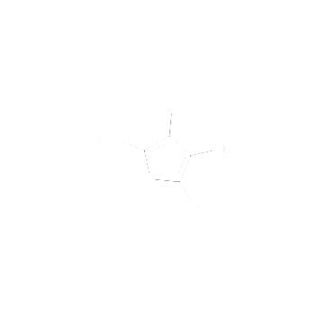 O=S(=O)(O)c1sc(S(=O)(=O)O)c(Cl)c1Cl